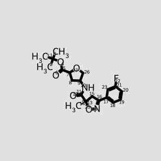 CC(C)(C)OC(=O)C1CC(NC(=O)[C@@]2(C)CC(c3cccc(F)c3)=NO2)CO1